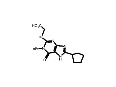 CCCn1c(NCC(=O)O)nc2nc(C3CCCC3)[nH]c2c1=O